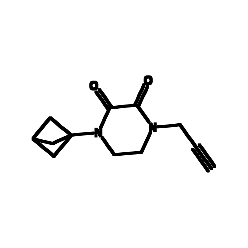 C#CCN1CCN(C23CC(C2)C3)C(=O)C1=O